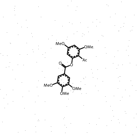 COc1cc(OC)c(C(C)=O)c(OC(=O)c2cc(OC)c(OC)c(OC)c2)c1